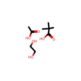 CC(=O)O.CC(C)(C)C(=O)O.OCCO